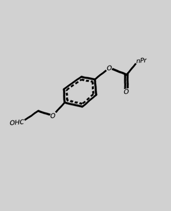 CCCC(=O)Oc1ccc(OCC=O)cc1